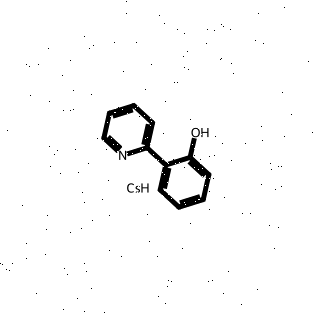 Oc1ccccc1-c1ccccn1.[CsH]